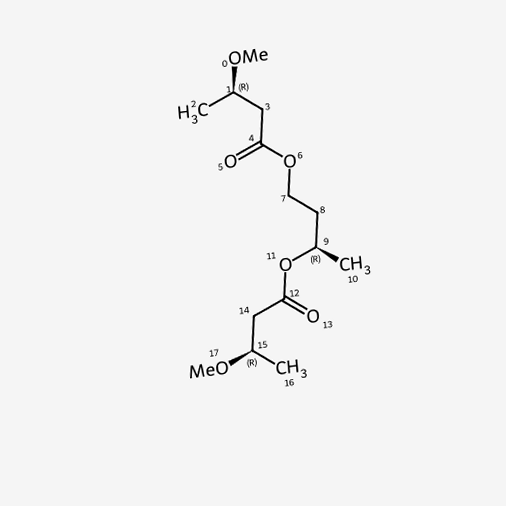 CO[C@H](C)CC(=O)OCC[C@@H](C)OC(=O)C[C@@H](C)OC